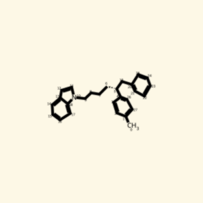 Cc1ccc([C@H](CCCCn2ccc3ccccc32)Cc2ccccc2)cc1